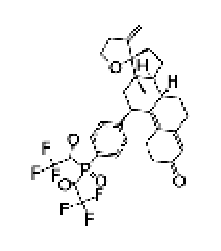 C=C1CCO[C@]12CC[C@H]1[C@@H]3CCC4=CC(=O)CCC4=C3[C@@H](c3ccc(P(=O)(C(=O)C(F)(F)F)C(=O)C(F)(F)F)cc3)C[C@@]12C